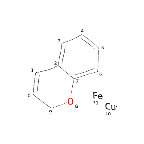 C1=Cc2ccccc2OC1.[Cu].[Fe]